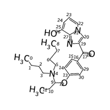 CCCCN(CCCC)C(CC)Oc1ccc(C(=O)c2cn3cccc(O)c3n2)cc1